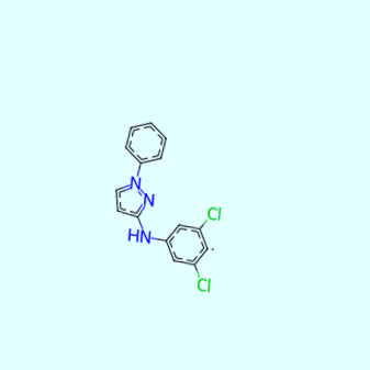 Clc1[c]c(Cl)cc(Nc2ccn(-c3ccccc3)n2)c1